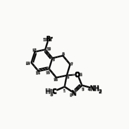 CC1N=C(N)OC12CCc1c(Br)cccc1C2